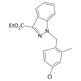 CCOC(=O)c1nn(Cc2ccc(Cl)cc2C)c2ccccc12